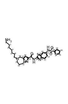 NCCCCCCCN1CCCn2nc(C(=O)Nc3nc4ccc(NS(=O)(=O)c5cccs5)cc4s3)cc2C1